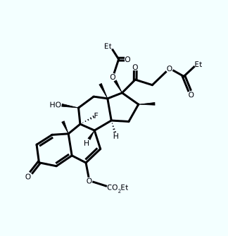 CCOC(=O)OC1=C[C@H]2[C@@H]3C[C@H](C)[C@@](OC(=O)CC)(C(=O)COC(=O)CC)[C@@]3(C)C[C@H](O)[C@]2(F)[C@@]2(C)C=CC(=O)C=C12